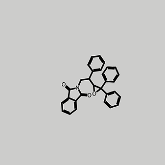 O=C1c2ccccc2C(=O)N1CC(c1ccccc1)C1OC1(c1ccccc1)c1ccccc1